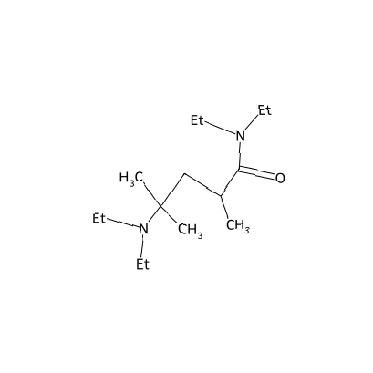 CCN(CC)C(=O)C(C)CC(C)(C)N(CC)CC